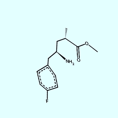 COC(=O)[C@@H](C)C[C@@H](N)Cc1ccc(F)cc1